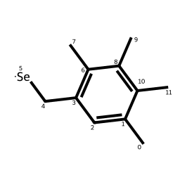 Cc1cc(C[Se])c(C)c(C)c1C